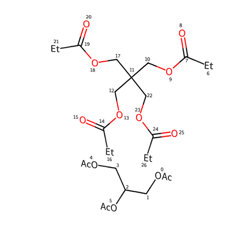 CC(=O)OCC(COC(C)=O)OC(C)=O.CCC(=O)OCC(COC(=O)CC)(COC(=O)CC)COC(=O)CC